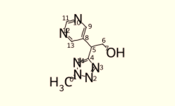 Cn1nnc(C(CO)c2cncnc2)n1